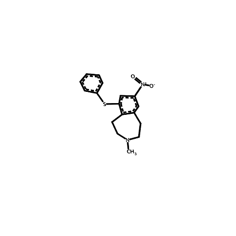 CN1CCc2cc([N+](=O)[O-])cc(Sc3ccccc3)c2CC1